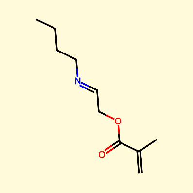 C=C(C)C(=O)OCC=NCCCC